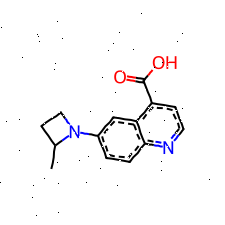 CC1CCN1c1ccc2nccc(C(=O)O)c2c1